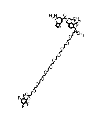 CCCN(Cc1ccc(CN(C)CCOCCOCCOCCOCCOCCOCCOCCOCCOCCOCCC(=O)Oc2c(F)c(F)cc(F)c2F)c(C(F)(F)F)c1)C(=O)C1=Cc2sccc2N=C(N)C1